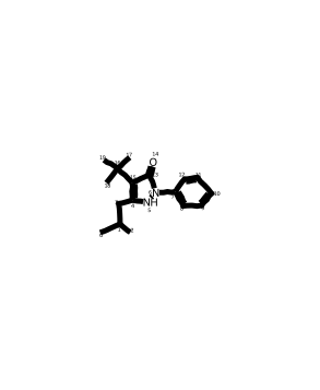 CC(C)Cc1[nH]n(-c2ccccc2)c(=O)c1C(C)(C)C